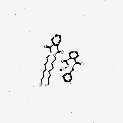 CC(C)CCCCCCCOC(=O)c1ccccc1C(=O)OCCCCCCCC(C)C.CCCCOC(=O)c1ccccc1C(=O)OCc1ccccc1